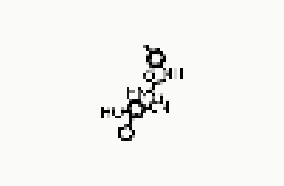 Cc1ccc2c(c1)OC(C(=O)Nc1cc(O)c(C3CCCC3)cc1C#N)CN2